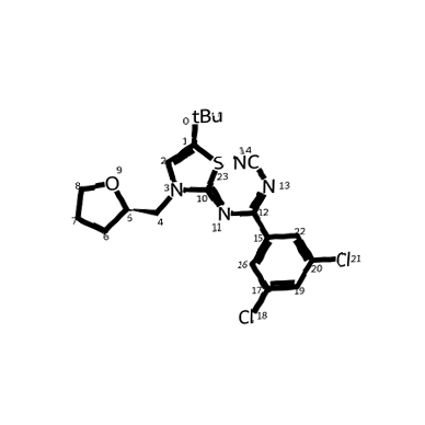 CC(C)(C)c1cn(C[C@H]2CCCO2)c(=NC(=NC#N)c2cc(Cl)cc(Cl)c2)s1